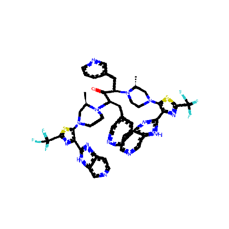 C[C@@H]1CN(c2sc(C(F)(F)F)nc2-c2nc3ccncc3[nH]2)CCN1C(Cc1cccnc1)C(=O)C(Cc1cccnc1)N1CCN(c2sc(C(F)(F)F)nc2-c2nc3ccncc3[nH]2)C[C@H]1C